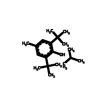 C[C](C)C.Cc1cc(C(C)(C)C)c(O)c(C(C)(C)C)c1